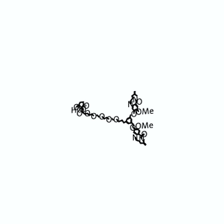 C=C1CC2C=Nc3cc(OCc4cc(CCCOCCOCCOCCOCCOCC(=O)O[N+]5(O)C(=O)CCC5=O)cc(COc5cc6c(cc5OC)C(=O)N5CC(=C)CC5C=N6)c4)c(OC)cc3C(=O)N2C1